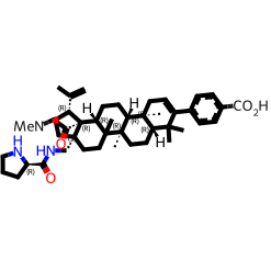 C=C(C)[C@H]1CC[C@]2(CNC(=O)[C@H]3CCCN3)CCC3(C)[C@@H](CC[C@@H]4[C@@]5(C)CC=C(c6ccc(C(=O)O)cc6)C(C)(C)[C@@H]5CC[C@]43C)[C@]12C(=O)CNC